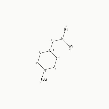 CCC(CN1CCC(C(C)(C)C)CC1)C(C)C